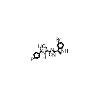 O=C(N[C@@H](CO)c1nc(-c2c[nH]c3ccc(Br)cc23)no1)c1ccc(F)cc1